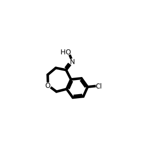 ON=C1CCOCc2ccc(Cl)cc21